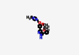 COc1cc(-c2cnc3[nH]cc(-c4ccccc4OC)c3c2)ccc1OCCN1CCN(C)CC1